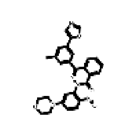 Cc1cc(-c2cnco2)cc(-c2nn(-c3cc(N4CCOCC4)ccc3N=O)c(=O)c3ccccc23)c1